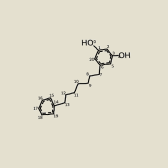 Oc1cc(O)cc(CCCCCCCc2ccccc2)c1